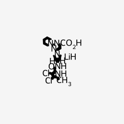 Cc1[nH]c(C(=O)NC2[C@H]3CN(c4cc(C(=O)O)nc(N5CCCCC5)n4)C[C@@H]23)c(Cl)c1Cl.[LiH]